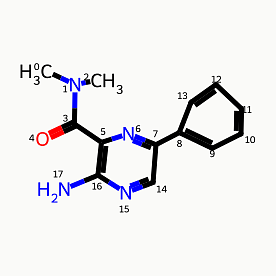 CN(C)C(=O)c1nc(-c2ccccc2)cnc1N